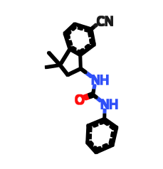 CC1(C)CC(NC(=O)Nc2ccccc2)c2cc(C#N)ccc21